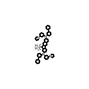 CC1(C)c2cc(N(c3cccc(-c4ccccc4)c3)c3cccc(-n4cccc4)c3)ccc2-c2cc3ccc(N(c4cccc(-c5ccccc5)c4)c4cccc(-n5cccc5)c4)cc3cc21